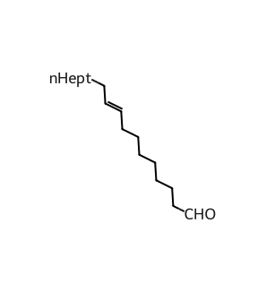 CCCCCCCCC=CCCCCCCCC=O